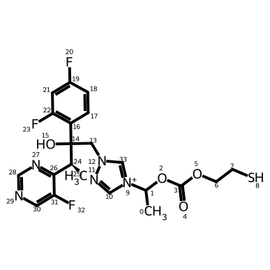 CC(OC(=O)OCCS)[n+]1cnn(CC(O)(c2ccc(F)cc2F)[C@@H](C)c2ncncc2F)c1